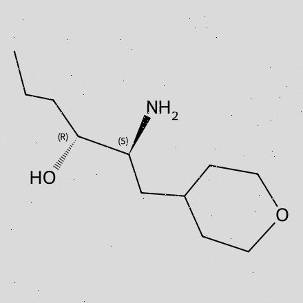 CCC[C@@H](O)[C@@H](N)CC1CCOCC1